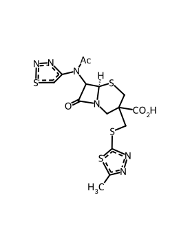 CC(=O)N(c1csnn1)C1C(=O)N2CC(CSc3nnc(C)s3)(C(=O)O)CS[C@H]12